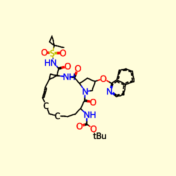 CC(C)(C)OC(=O)NC1CCCCC/C=C\C2CC2(C(=O)NS(=O)(=O)C2(C)CC2)NC(=O)C2CC(Oc3nccc4ccccc34)CN2C1=O